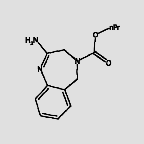 CCCOC(=O)N1CC(N)=Nc2ccccc2C1